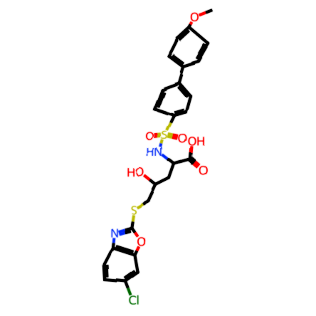 COc1ccc(-c2ccc(S(=O)(=O)NC(CC(O)CSc3nc4ccc(Cl)cc4o3)C(=O)O)cc2)cc1